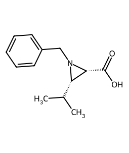 CC(C)[C@H]1[C@@H](C(=O)O)N1Cc1ccccc1